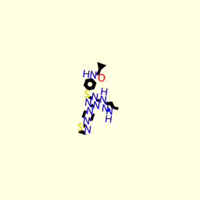 Cc1cc(Nc2nc(Sc3ccc(NC(=O)C4CC4)cc3)nc(N3CCN(c4nccs4)CC3)n2)n[nH]1